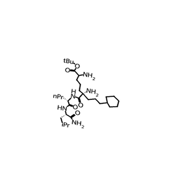 CCC[C@H](NC(=O)[C@](N)(CCCC1CCCCC1)CCCC(N)C(=O)OC(C)(C)C)C(=O)N[C@@H](CC(C)C)C(N)=O